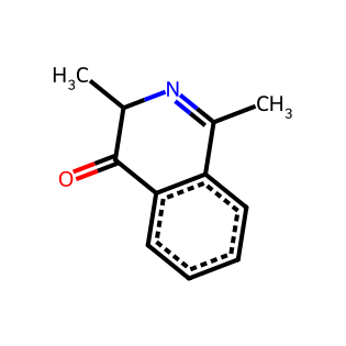 CC1=NC(C)C(=O)c2ccccc21